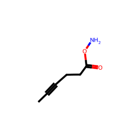 CC#CCCC(=O)ON